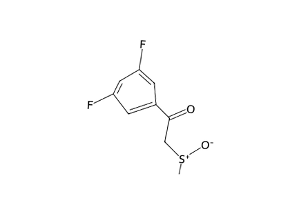 C[S+]([O-])CC(=O)c1cc(F)cc(F)c1